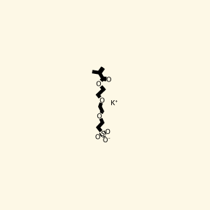 C=C(C)C(=O)OCCOCCOCCS(=O)(=O)[O-].[K+]